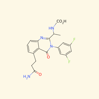 CC(NC(=O)O)c1nc2cccc(CCC(N)=O)c2c(=O)n1-c1cc(F)cc(F)c1